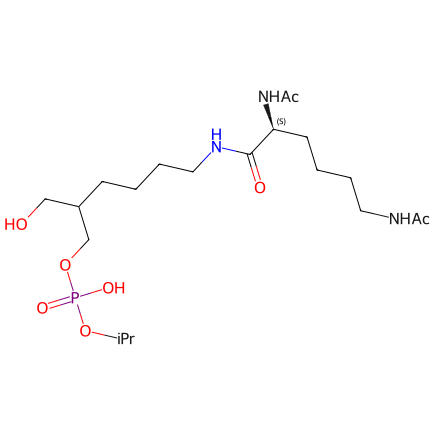 CC(=O)NCCCC[C@H](NC(C)=O)C(=O)NCCCCC(CO)COP(=O)(O)OC(C)C